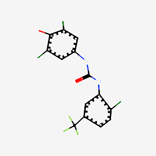 O=C(Nc1cc(Cl)c(O)c(Cl)c1)Nc1cc(C(F)(F)F)ccc1Cl